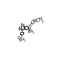 CCN1CCC(COc2cc3ncnc(-c4ccc(CC(N)=O)cc4)c3cc2OC)CC1